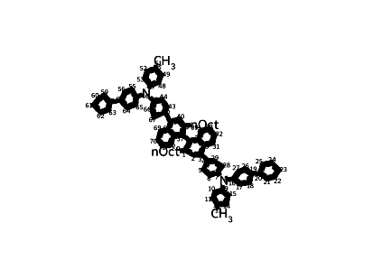 CCCCCCCCc1cc(-c2ccc(N(c3ccc(C)cc3)c3ccc(-c4ccccc4)cc3)cc2)c2ccccc2c1-c1c(CCCCCCCC)cc(-c2ccc(N(c3ccc(C)cc3)c3ccc(-c4ccccc4)cc3)cc2)c2ccccc12